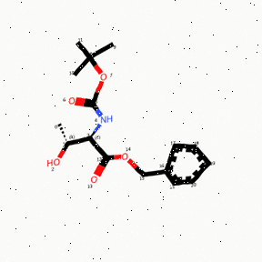 C[C@@H](O)[C@@H](NC(=O)OC(C)(C)C)C(=O)OCc1ccccc1